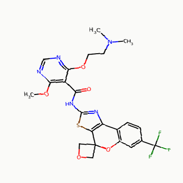 COc1ncnc(OCCN(C)C)c1C(=O)Nc1nc2c(s1)C1(COC1)Oc1cc(C(F)(F)F)ccc1-2